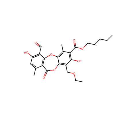 CCCCCOC(=O)c1c(C)c2c(c(COCC)c1O)OC(=O)c1c(C)cc(O)c(C=O)c1O2